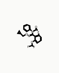 CC(=O)N(C(=NOCC1CC1)c1c(F)cccc1OC(F)F)c1ccccc1